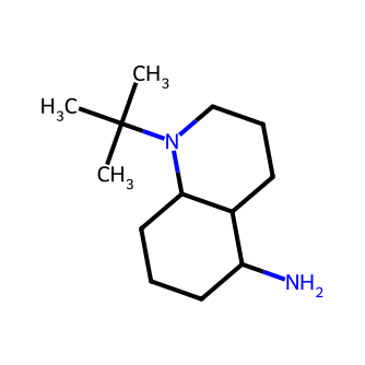 CC(C)(C)N1CCCC2C(N)CCCC21